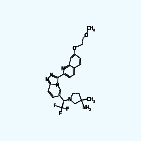 COCCOc1ccc2ccc(-c3nnc4ccc([C@@H](N5CC[C@](C)(N)C5)C(F)(F)F)cn34)nc2c1